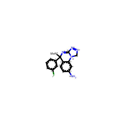 CNC1(c2cccc(F)c2)N=C2N=NCN2c2cc(N)ccc21